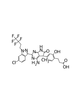 C[C@@]1(c2ccc(CCC(=O)O)c(O)c2)C(=O)Nc2nc(-c3nn(CCC(F)(F)C(F)(F)F)c4cc(Cl)ccc34)nc(N)c21